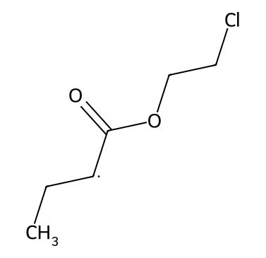 CC[CH]C(=O)OCCCl